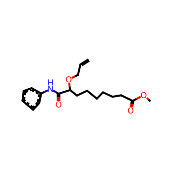 C=CCOC(CCCCCCC(=O)OC)C(=O)Nc1ccccc1